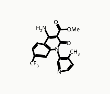 COC(=O)c1c(N)c2ccc(C(F)(F)F)cc2n(-c2cnccc2C)c1=O